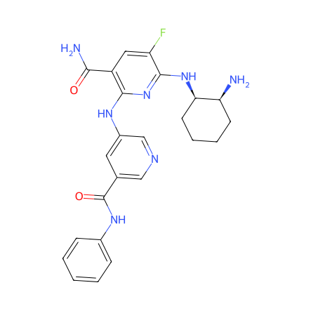 NC(=O)c1cc(F)c(N[C@@H]2CCCC[C@@H]2N)nc1Nc1cncc(C(=O)Nc2ccccc2)c1